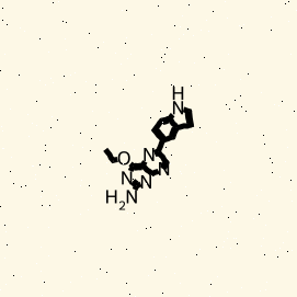 CCOc1nc(N)nc2ncc(-c3ccc4[nH]ccc4c3)nc12